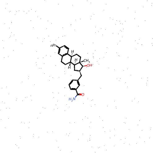 CCCc1ccc2c(c1)CC[C@@H]1[C@@H]2CC[C@]2(C)[C@@H](O)[C@@H](Cc3cccc(C(N)=O)c3)C[C@@H]12